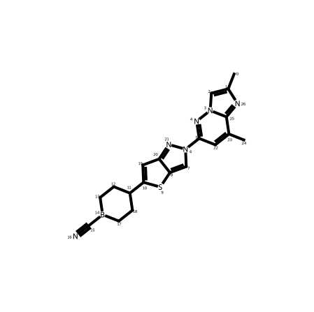 Cc1cn2nc(-n3cc4sc(C5CCB(C#N)CC5)cc4n3)cc(C)c2n1